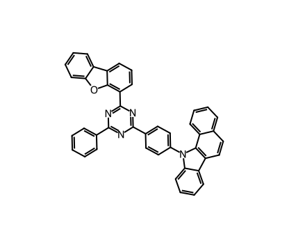 c1ccc(-c2nc(-c3ccc(-n4c5ccccc5c5ccc6ccccc6c54)cc3)nc(-c3cccc4c3oc3ccccc34)n2)cc1